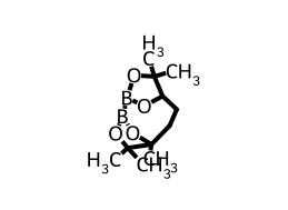 CC1(C)OB2OC1CCC1(C)OB2OC1(C)C